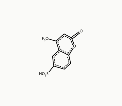 O=c1cc(C(F)(F)F)c2cc(S(=O)(=O)O)ccc2o1